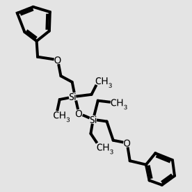 CC[Si](CC)(CCOCc1ccccc1)O[Si](CC)(CC)CCOCc1ccccc1